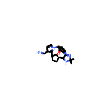 CC1(C)N/C2=C3/CCC(C3)c3c(C=N)ccn3-c3ccc2n1c3=O